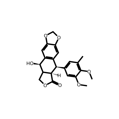 COc1cc([C@@H]2c3cc4c(cc3[C@H](O)C3COC(=O)[C@@H]32)OCO4)cc(C)c1OC